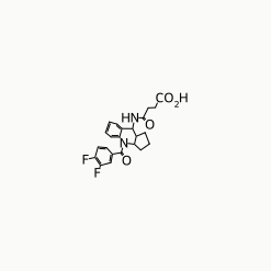 O=C(O)CCC(=O)NC1c2ccccc2N(C(=O)c2ccc(F)c(F)c2)C2CCCC12